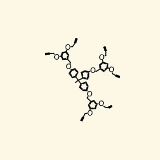 C#CCOc1cc(COc2ccc(C(C)(c3ccc(OCc4cc(OCC#C)cc(OCC#C)c4)cc3)c3ccc(OCc4cc(OCC#C)cc(OCC#C)c4)cc3)cc2)cc(OCC#C)c1